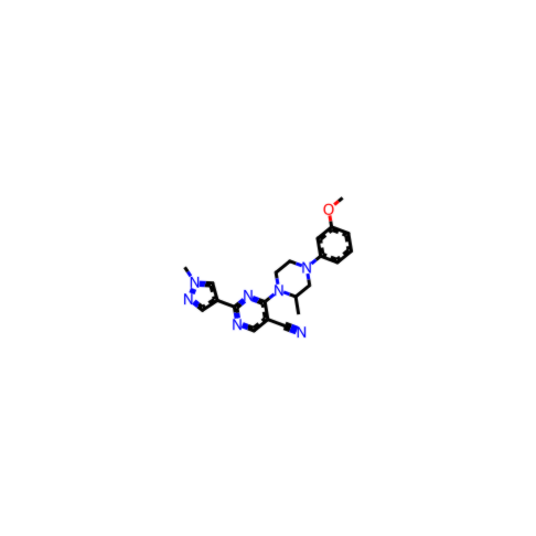 COc1cccc(N2CCN(c3nc(-c4cnn(C)c4)ncc3C#N)C(C)C2)c1